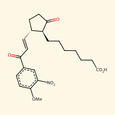 COc1ccc(C(=O)C=C[C@@H]2CCC(=O)[C@H]2CCCCCCC(=O)O)cc1[N+](=O)[O-]